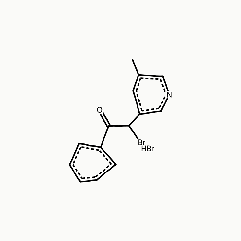 Br.Cc1cncc(C(Br)C(=O)c2ccccc2)c1